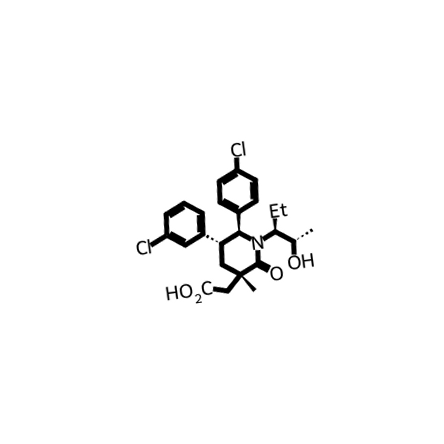 CC[C@@H]([C@H](C)O)N1C(=O)[C@](C)(CC(=O)O)C[C@H](c2cccc(Cl)c2)[C@H]1c1ccc(Cl)cc1